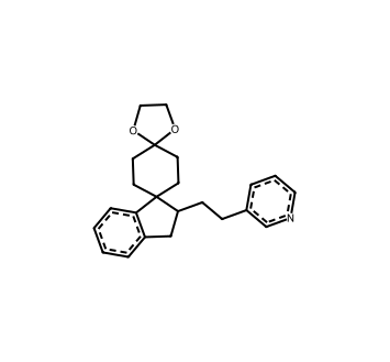 c1cncc(CCC2Cc3ccccc3C23CCC2(CC3)OCCO2)c1